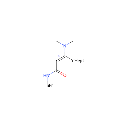 CCCCCCC/C(=C\C(=O)NCCC)N(C)C